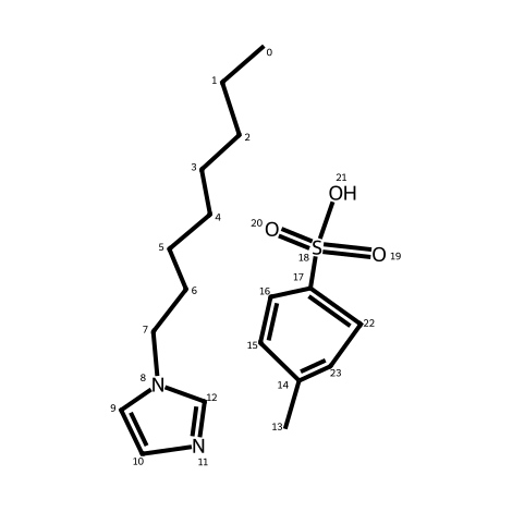 CCCCCCCCn1ccnc1.Cc1ccc(S(=O)(=O)O)cc1